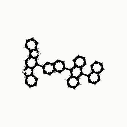 c1ccc2c(-c3c4ccccc4c(-c4ccc5cc(-c6c7oc8ccccc8c7cc7oc8ccccc8c67)ccc5c4)c4ccccc34)cccc2c1